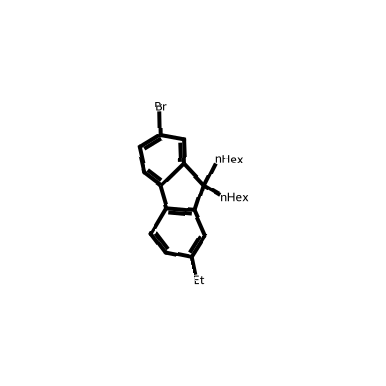 CCCCCCC1(CCCCCC)c2cc(Br)ccc2-c2ccc(CC)cc21